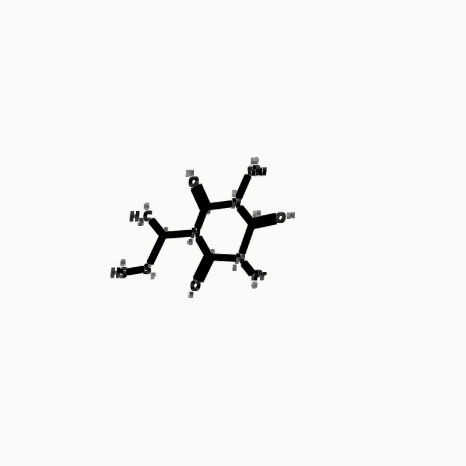 CC(C)n1c(=O)n(C(C)SS)c(=O)n(C(C)(C)C)c1=O